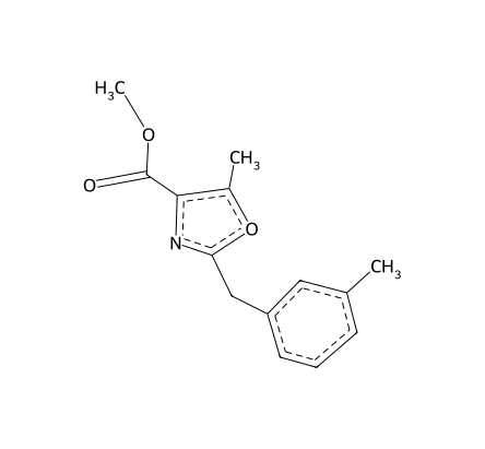 COC(=O)c1nc(Cc2cccc(C)c2)oc1C